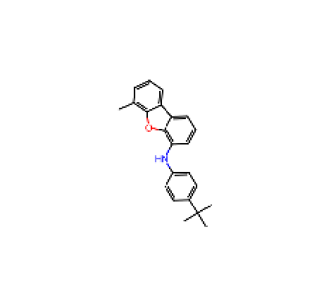 Cc1cccc2c1oc1c(Nc3ccc(C(C)(C)C)cc3)cccc12